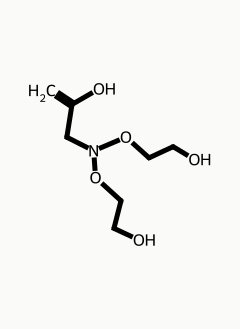 C=C(O)CN(OCCO)OCCO